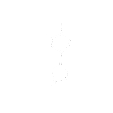 CN1C=CN(c2ccc(F)c(F)c2)C1